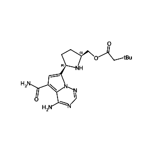 CC(C)(C)CC(=O)OC[C@@H]1CC[C@H](c2cc(C(N)=O)c3c(N)ncnn23)N1